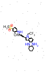 COc1cc(S(C)(=O)=O)ccc1NCC#Cc1cc2c(N[C@H]3CCCC[C@H]3N)cccc2n1CC(F)(F)F